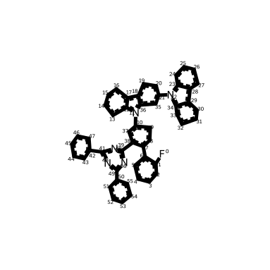 Fc1ccccc1-c1ccc(-n2c3ccccc3c3ccc(-n4c5ccccc5c5ccccc54)cc32)cc1-c1nc(-c2ccccc2)nc(-c2ccccc2)n1